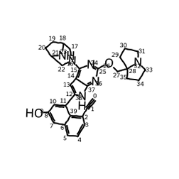 C#Cc1cccc2cc(O)cc(-c3cc4c(N5CC6CCC(C5)N6)nc(OCC56CCCN5CCC6)nc4[nH]3)c12